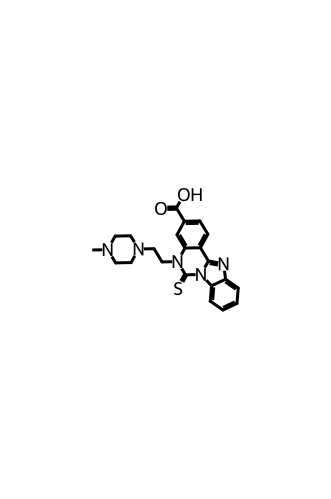 CN1CCN(CCn2c(=S)n3c4ccccc4nc3c3ccc(C(=O)O)cc32)CC1